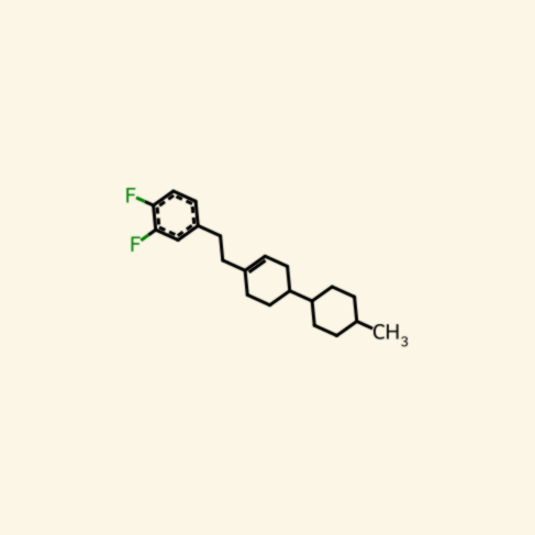 CC1CCC(C2CC=C(CCc3ccc(F)c(F)c3)CC2)CC1